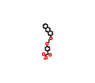 COC(=O)C(=O)c1ccc(OCCOc2ccc3cc4ccccc4cc3c2)cc1